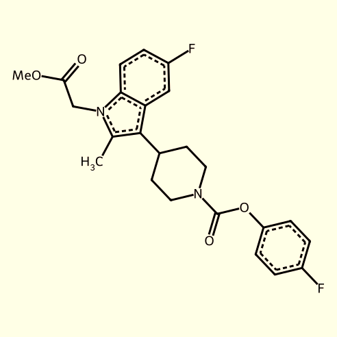 COC(=O)Cn1c(C)c(C2CCN(C(=O)Oc3ccc(F)cc3)CC2)c2cc(F)ccc21